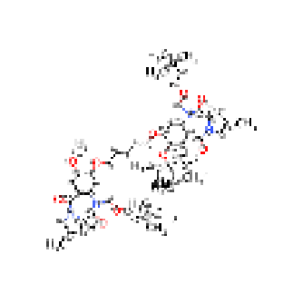 COc1cc2c(cc1OCCCCCOc1cc3c(cc1O[Si](C(C)C)(C(C)C)C(C)C)C(=O)N1C=C(C)C[C@H]1C(=O)N3COCC[Si](C)(C)C)N(COCC[Si](C)(C)C)C(=O)[C@@H]1CC(C)=CN1C2=O